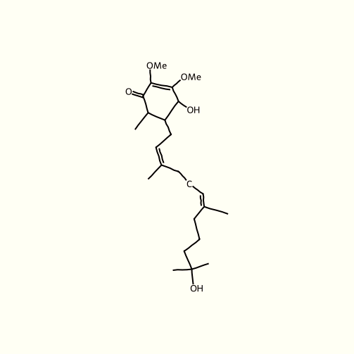 COC1=C(OC)C(O)C(CC=C(C)CCC=C(C)CCCC(C)(C)O)C(C)C1=O